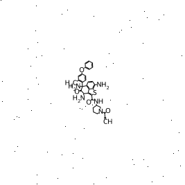 C#CC(=O)N1CCCC(NC(=O)c2sc3c(N)ccc4c3c2C(N)C(=O)C4(N)c2ccc(Oc3ccccc3)cc2C)C1